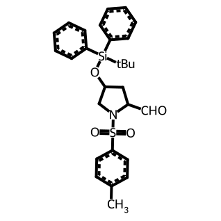 Cc1ccc(S(=O)(=O)N2CC(O[Si](c3ccccc3)(c3ccccc3)C(C)(C)C)CC2C=O)cc1